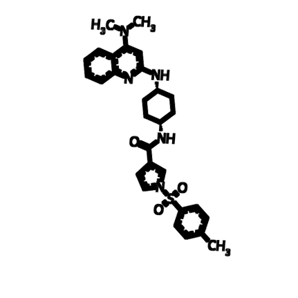 Cc1ccc(S(=O)(=O)n2ccc(C(=O)N[C@H]3CC[C@@H](Nc4cc(N(C)C)c5ccccc5n4)CC3)c2)cc1